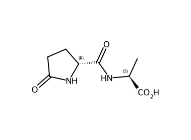 C[C@H](NC(=O)[C@H]1CCC(=O)N1)C(=O)O